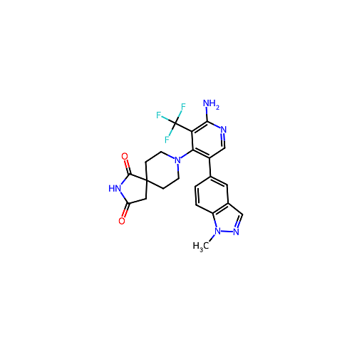 Cn1ncc2cc(-c3cnc(N)c(C(F)(F)F)c3N3CCC4(CC3)CC(=O)NC4=O)ccc21